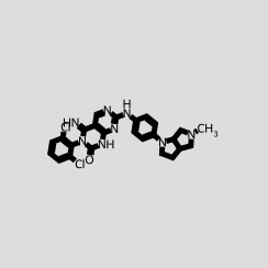 CN1CC2CCN(c3ccc(Nc4ncc5c(=N)n(-c6c(Cl)cccc6Cl)c(=O)[nH]c5n4)cc3)C2C1